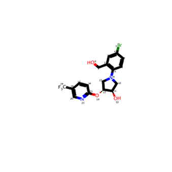 OCc1cc(Br)ccc1N1C[C@@H](O)[C@H](Oc2ccc(C(F)(F)F)cn2)C1